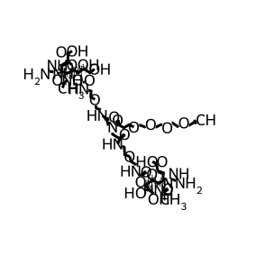 C#CCOCCOCCOCCOCCC(=O)N(CC(=O)NCCOCCNC(=O)O[C@@H]([C@@H]1OC(C(=O)O)=C[C@H](NC(=N)N)[C@H]1NC(C)=O)[C@H](O)CO)CC(=O)NCCOCCNC(=O)O[C@@H]([C@@H]1OC(C(=O)O)=C[C@H](NC(=N)N)[C@H]1NC(C)=O)[C@H](O)CO